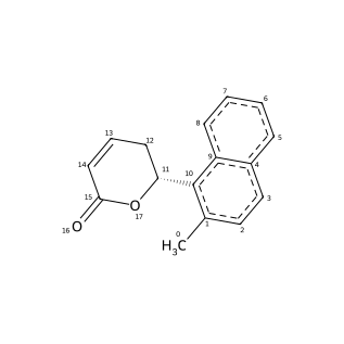 Cc1ccc2ccccc2c1[C@H]1CC=CC(=O)O1